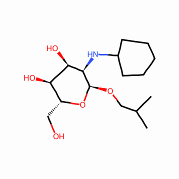 CC(C)CO[C@H]1O[C@H](CO)[C@@H](O)[C@@H](O)[C@H]1NC1CCCCC1